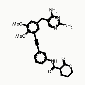 COc1cc(Cc2cnc(N)nc2N)cc(C#Cc2cccc(NC(=O)C3[C]CCOC3=O)c2)c1OC